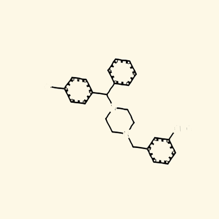 O=Cc1cccc(CN2CCN(C(c3ccccc3)c3ccc(Cl)cc3)CC2)c1